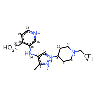 Cc1nn(C2CCN(CC(F)(F)F)CC2)cc1Nc1cnccc1C(=O)O